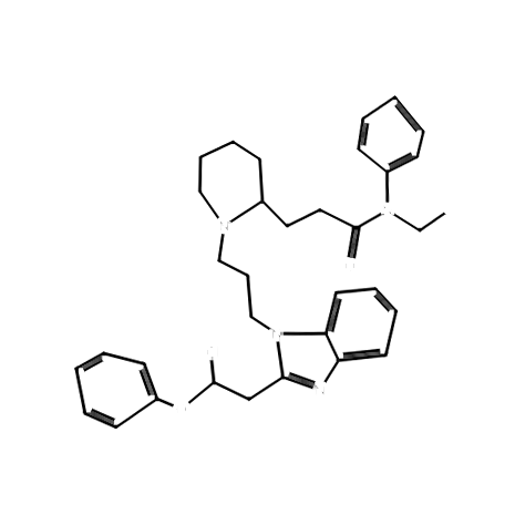 CCN(C(=O)CCC1CCCCN1CCCn1c(CC(Cl)Oc2ccccc2)nc2ccccc21)c1ccccc1